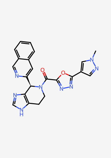 Cn1cc(-c2nnc(C(=O)N3CCc4[nH]cnc4[C@H]3c3cc4ccccc4cn3)o2)cn1